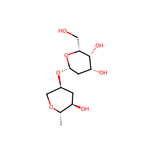 C[C@@H]1OC[C@@H](O[C@H]2C[C@@H](O)[C@@H](O)[C@@H](CO)O2)C[C@H]1O